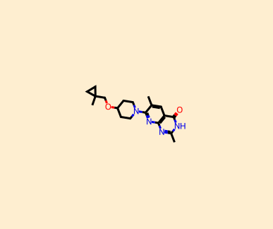 Cc1nc2nc(N3CCC(OCC4(C)CC4)CC3)c(C)cc2c(=O)[nH]1